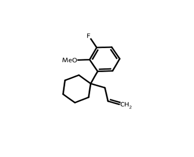 C=CCC1(c2cccc(F)c2OC)CCCCC1